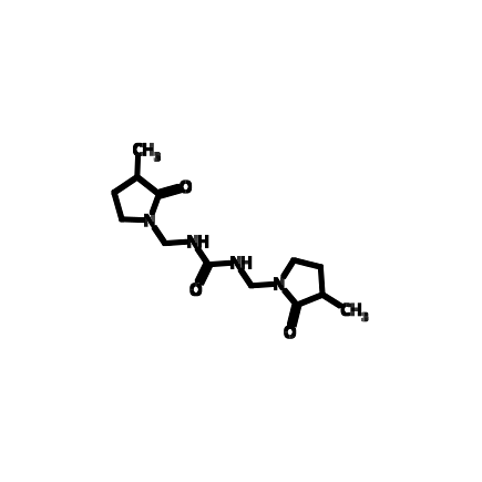 CC1CCN(CNC(=O)NCN2CCC(C)C2=O)C1=O